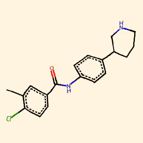 Cc1cc(C(=O)Nc2ccc(C3CCCNC3)cc2)ccc1Cl